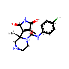 CCCCCCC1(C2=C(C)C(=O)NC2=O)CNCCN1C(=O)Nc1ccc(F)cc1